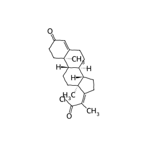 CC(C(=O)Cl)=C1CC[C@H]2[C@@H]3CCC4=CC(=O)CC[C@]4(C)[C@H]3CC[C@]12C